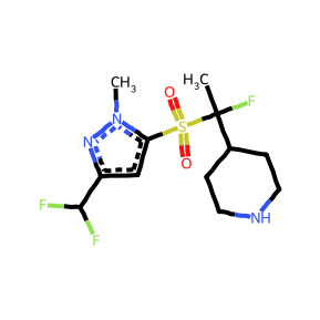 Cn1nc(C(F)F)cc1S(=O)(=O)C(C)(F)C1CCNCC1